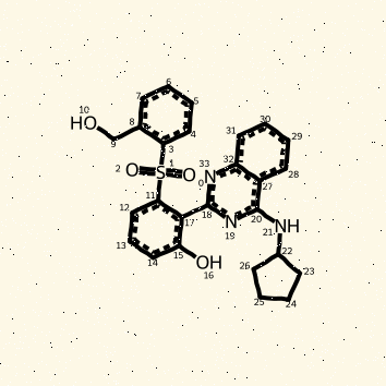 O=S(=O)(c1ccccc1CO)c1cccc(O)c1-c1nc(NC2CCCC2)c2ccccc2n1